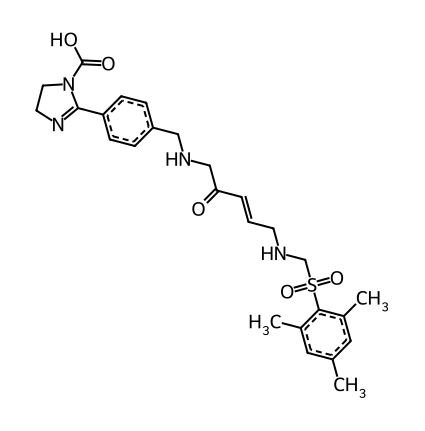 Cc1cc(C)c(S(=O)(=O)CNCC=CC(=O)CNCc2ccc(C3=NCCN3C(=O)O)cc2)c(C)c1